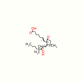 CCCCC(C)(C)[C@H](O)/C=C/[C@@H]1[C@H](C)CC(=O)[C@@H]1/C=C/CCCCC(=O)O